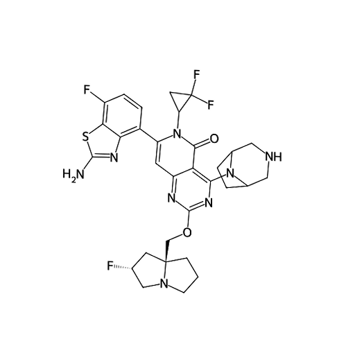 Nc1nc2c(-c3cc4nc(OC[C@@]56CCCN5C[C@H](F)C6)nc(N5C6CCC5CNC6)c4c(=O)n3C3CC3(F)F)ccc(F)c2s1